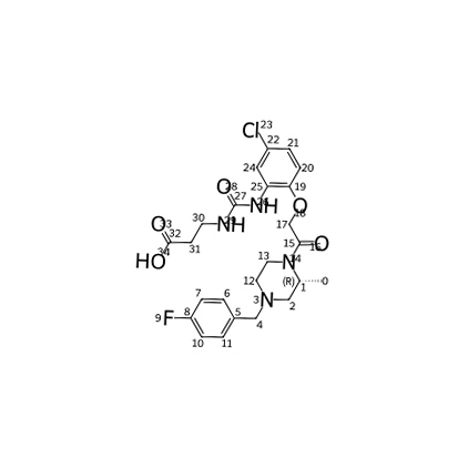 C[C@@H]1CN(Cc2ccc(F)cc2)CCN1C(=O)COc1ccc(Cl)cc1NC(=O)NCCC(=O)O